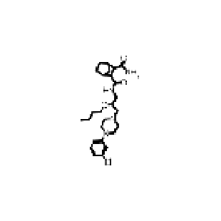 CCCCOC(CNC(=O)C1C2CCC(C2)C1C(N)=O)CN1CCN(c2cccc(Cl)c2)CC1